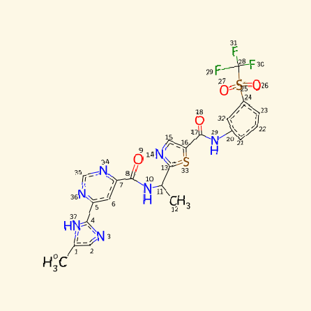 Cc1cnc(-c2cc(C(=O)NC(C)c3ncc(C(=O)Nc4cccc(S(=O)(=O)C(F)(F)F)c4)s3)ncn2)[nH]1